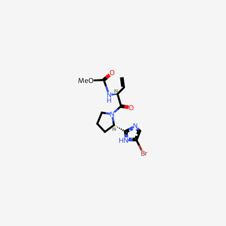 C=C[C@H](NC(=O)OC)C(=O)N1CCC[C@H]1c1ncc(Br)[nH]1